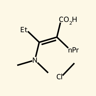 CCCC(C(=O)O)=C(CC)N(C)C.CCl